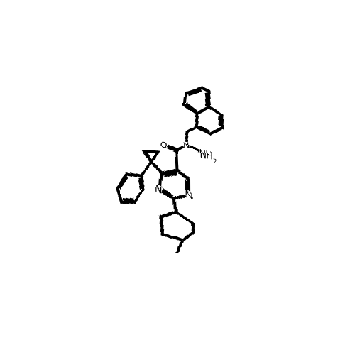 CC1CCC(c2ncc(C(=O)N(N)Cc3cccc4ccccc34)c(C3(c4ccccc4)CC3)n2)CC1